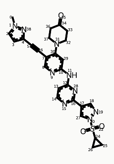 Cn1ccc(C#Cc2cnc(Nc3ccnc(-c4cnn(S(=O)(=O)C5CC5)c4)n3)cc2N2CCC(=O)CC2)n1